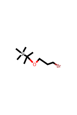 CC(C)(OCCCBr)[Si](C)(C)C